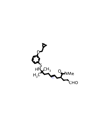 CNC(=O)C(C/C=C/CCC(C)(C)NSc1cccc(OCC2CC2)c1)CCC=O